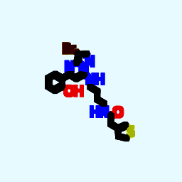 O=C(CC1=CSCC1)NCCCCNc1cc(-c2ccccc2O)nc2c(Br)cnn12